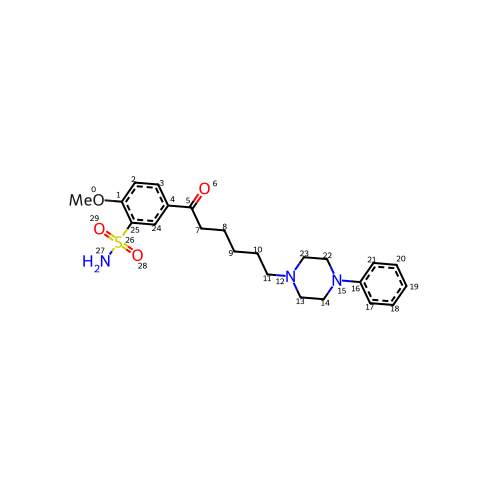 COc1ccc(C(=O)CCCCCN2CCN(c3ccccc3)CC2)cc1S(N)(=O)=O